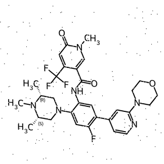 C[C@@H]1CN(c2cc(F)c(-c3ccnc(N4CCOCC4)c3)cc2NC(=O)c2cn(C)c(=O)cc2C(F)(F)F)C[C@H](C)N1C